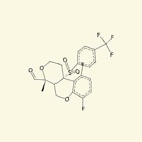 C[C@@]1(C=O)OCC[C@@]2(S(=O)(=O)c3ccc(C(F)(F)F)cc3)c3c(F)ccc(F)c3OCC12